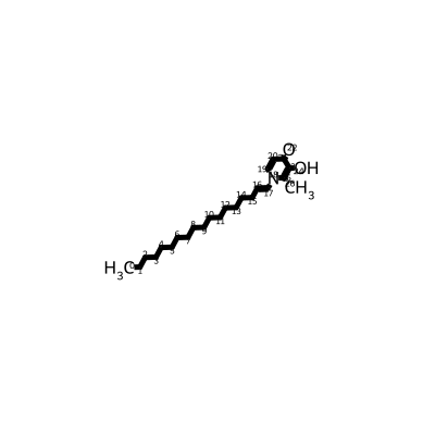 CCCCCCCCCCCCCCCCC=Cn1ccc(=O)c(O)c1C